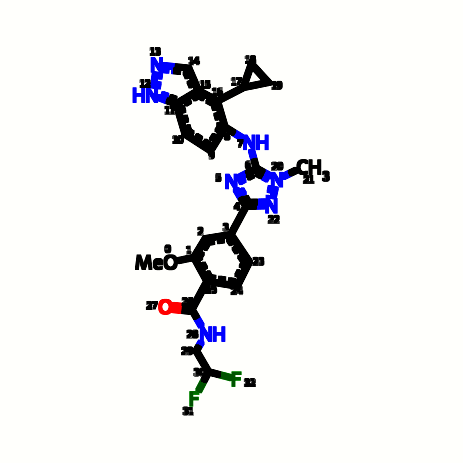 COc1cc(-c2nc(Nc3ccc4[nH]ncc4c3C3CC3)n(C)n2)ccc1C(=O)NCC(F)F